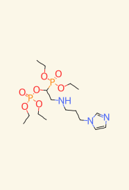 CCOP(=O)(OCC)OC(CNCCCn1ccnc1)P(=O)(OCC)OCC